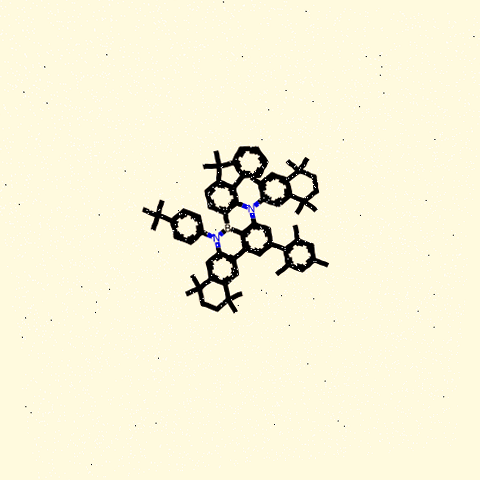 Cc1cc(C)c(-c2cc3c4c(c2)N(c2cc5c(cc2C)C(C)(C)CCC5(C)C)c2c(ccc5c2-c2ccccc2C5(C)C)B4N(c2ccc(C(C)(C)C)cc2)c2cc4c(cc2-3)C(C)(C)CCC4(C)C)c(C)c1